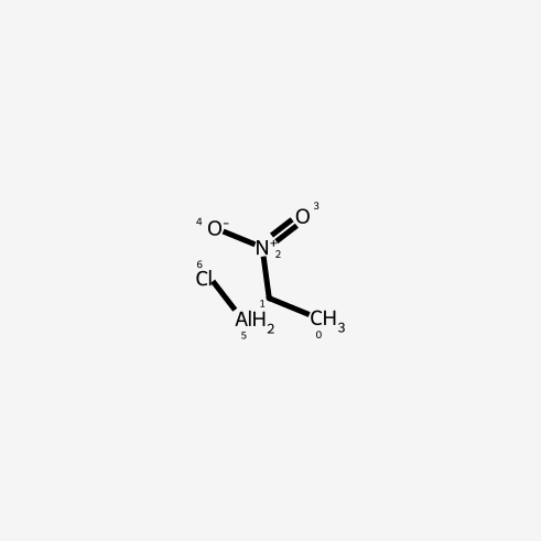 CC[N+](=O)[O-].[AlH2][Cl]